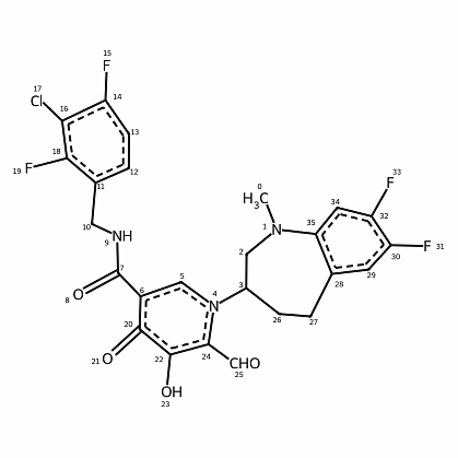 CN1CC(n2cc(C(=O)NCc3ccc(F)c(Cl)c3F)c(=O)c(O)c2C=O)CCc2cc(F)c(F)cc21